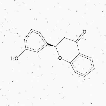 O=C1C[C@H](c2cccc(O)c2)Oc2ccccc21